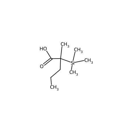 CCCC(C)(C(=O)O)[Si](C)(C)C